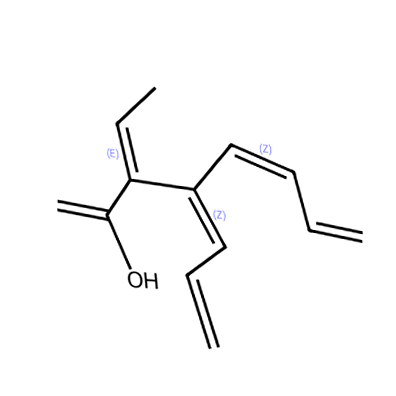 C=C\C=C/C(=C/C=C)C(=C\C)/C(=C)O